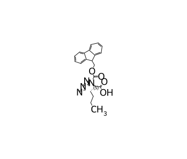 CCCC[C@@H](C(=O)O)N(N=[N+]=[N-])C(=O)OCC1c2ccccc2-c2ccccc21